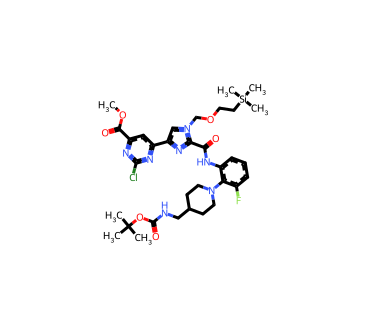 COC(=O)c1cc(-c2cn(COCC[Si](C)(C)C)c(C(=O)Nc3cccc(F)c3N3CCC(CNC(=O)OC(C)(C)C)CC3)n2)nc(Cl)n1